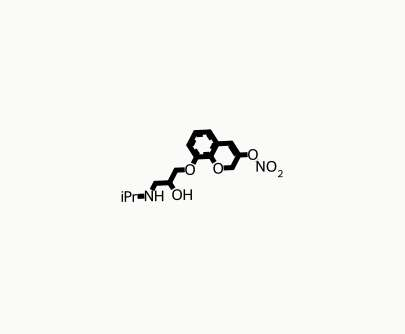 CC(C)NCC(O)COc1cccc2c1OCC(O[N+](=O)[O-])=C2